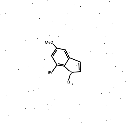 COc1cc(C(C)C)c2c(ccn2C)c1